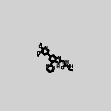 CCNC(=O)Nc1nc2cc(-c3cnc(OC)c(OC)c3)cc(-c3ncccn3)c2[nH]1